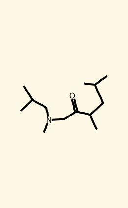 CC(C)CC(C)C(=O)CN(C)CC(C)C